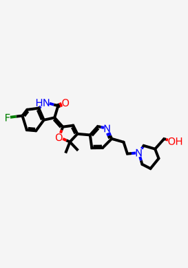 CC1(C)O/C(=C2/C(=O)Nc3cc(F)ccc32)C=C1c1ccc(CCN2CCCC(CO)C2)nc1